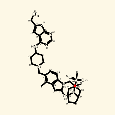 Cc1c(CN2CCC(Nc3ncnc4sc(CC(F)(F)F)cc34)CC2)ccc2c1cc(C#N)n2CC(C)N1C2CCC1CN(S(C)(=O)=O)C2